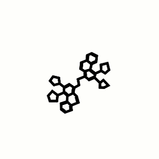 c1ccc2c(c1)ccc1c(CCc3cc(C4CCCC4)c(C4CCCC4)c4c3ccc3ccccc34)cc(C3CCCC3)c(C3CCCC3)c12